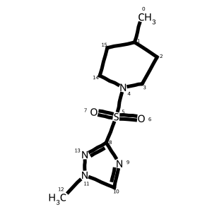 CC1CCN(S(=O)(=O)c2ncn(C)n2)CC1